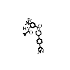 CC(C)N(C)c1ccc(C(=O)N2CCC(c3ccc(-c4cnn(C)c4)cc3)CC2)cc1NC(=O)C1CC1